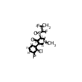 C=C(F)C(F)[S+]([O-])c1cn(C)cc(-c2cccc(F)c2Cl)c1=O